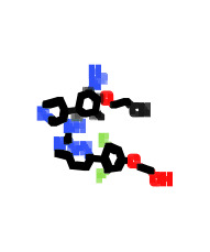 C[C@H]1C[C@@H](c2ccncc2Nc2ncc3ccc(-c4c(F)cc(OCCO)cc4F)nn23)C[C@@H](N)[C@H]1OCCC#N